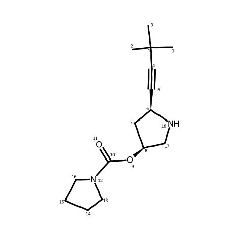 CC(C)(C)C#C[C@@H]1C[C@H](OC(=O)N2CCCC2)CN1